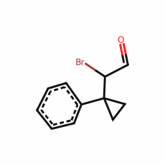 O=CC(Br)C1(c2ccccc2)CC1